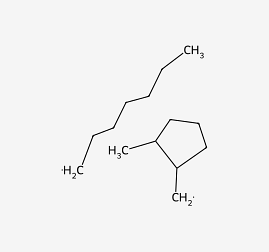 [CH2]C1CCCC1C.[CH2]CCCCCC